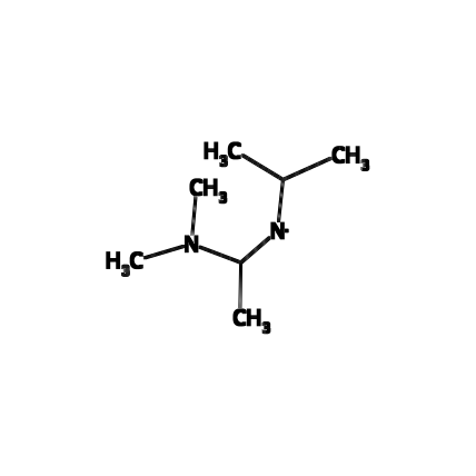 CC(C)[N]C(C)N(C)C